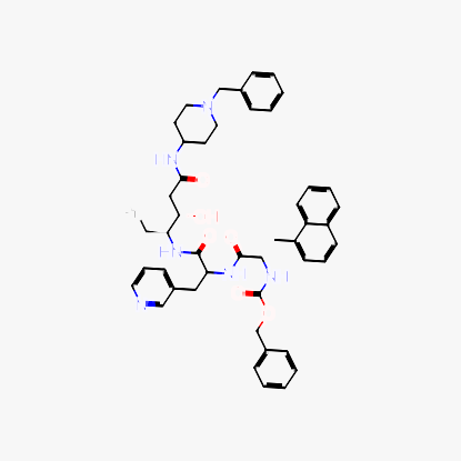 CC(C)C[C@H](NC(=O)C(Cc1cccnc1)NC(=O)[C@H](Cc1cccc2ccccc12)NC(=O)OCc1ccccc1)[C@@H](O)CC(=O)NC1CCN(Cc2ccccc2)CC1